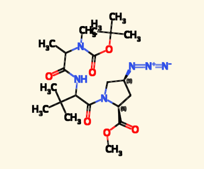 COC(=O)[C@@H]1C[C@H](N=[N+]=[N-])CN1C(=O)C(NC(=O)C(C)N(C)C(=O)OC(C)(C)C)C(C)(C)C